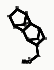 COCC1CC2CC1C1C3CCC(C3)C21